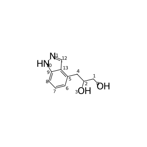 OCC(O)Cc1cccc2[nH]n[c]c12